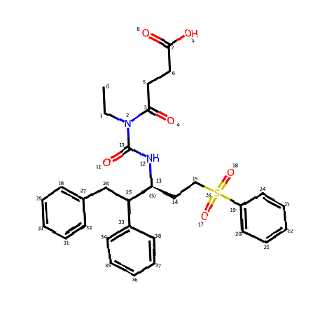 CCN(C(=O)CCC(=O)O)C(=O)N[C@@H](CCS(=O)(=O)c1ccccc1)C(Cc1ccccc1)c1ccccc1